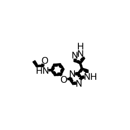 C=CC(=O)Nc1cccc(Oc2cnc3[nH]cc(-c4cn[nH]c4)c3n2)c1